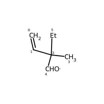 C=CC(C)([C]=O)CC